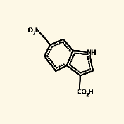 O=C(O)c1c[nH]c2cc([N+](=O)[O-])ccc12